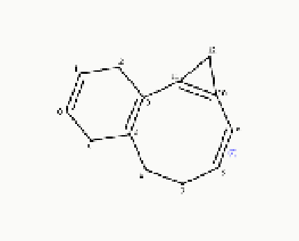 C1=CCC2=C(C1)CC/C=C\C1=C2C1